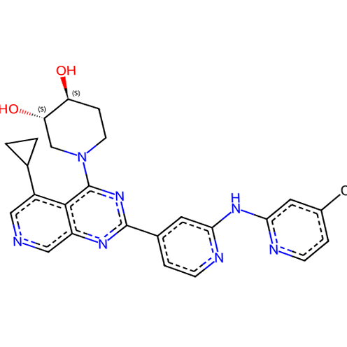 N#Cc1ccnc(Nc2cc(-c3nc(N4CC[C@H](O)[C@@H](O)C4)c4c(C5CC5)cncc4n3)ccn2)c1